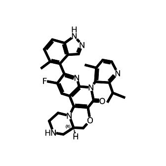 Cc1ccnc(C(C)C)c1-n1c(=O)c2c(c3cc(F)c(-c4c(C)ccc5[nH]ncc45)nc31)N1CCNC[C@@H]1CO2